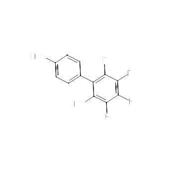 Cc1ccc(-c2c(C)c(F)c(F)c(F)c2F)cc1